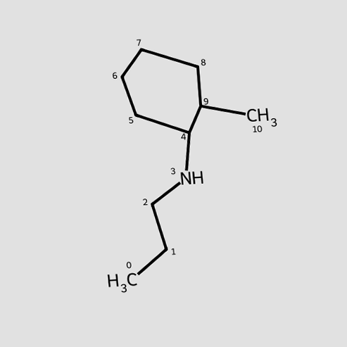 CCCNC1CCCCC1C